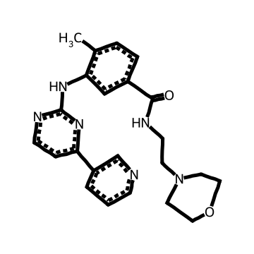 Cc1ccc(C(=O)NCCN2CCOCC2)cc1Nc1nccc(-c2cccnc2)n1